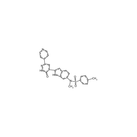 Cc1ccc(S(=O)(=O)N(C)c2ccc3cc(-c4cc(-c5ccncc5)n[nH]c4=O)[nH]c3c2)cc1